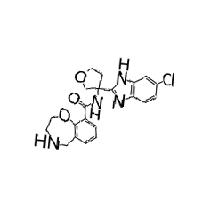 O=C(NC1(c2nc3ccc(Cl)cc3[nH]2)CCOC1)c1cccc2c1OCCNC2